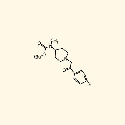 CN(C(=O)OC(C)(C)C)C1CCN(CC(=O)c2ccc(F)cc2)CC1